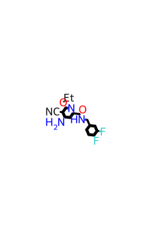 CCOc1nc(C(=O)NCc2ccc(F)c(F)c2)cc(N)c1C#N